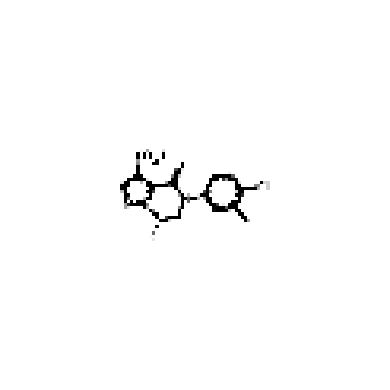 Cc1cc(N2C[C@H](C)n3ncc(C(=O)O)c3C2=O)ccc1Cl